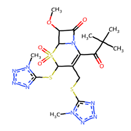 COC1C(=O)N2C(C(=O)C(C)(C)C)=C(CSc3nnnn3C)C(Sc3nnnn3C)S(=O)(=O)C12